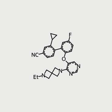 CCN1CC2(C1)CN(c1ncncc1Oc1ccc(F)cc1-c1ccc(C#N)cc1C1CC1)C2